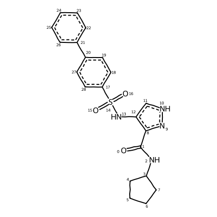 O=C(NC1CCCC1)c1n[nH]cc1NS(=O)(=O)c1ccc(-c2ccccc2)cc1